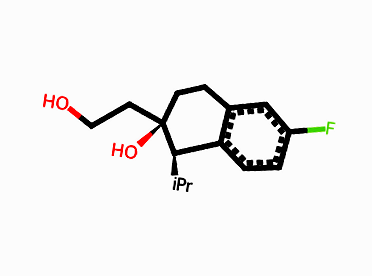 CC(C)[C@@H]1c2ccc(F)cc2CC[C@@]1(O)CCO